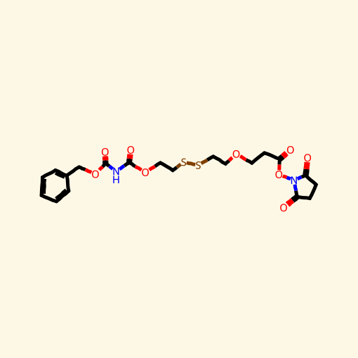 O=C(CCOCCSSCCOC(=O)NC(=O)OCc1ccccc1)ON1C(=O)CCC1=O